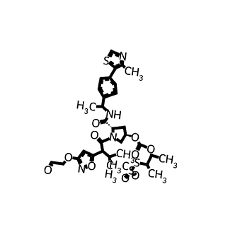 Cc1ncsc1-c1ccc(C(C)NC(=O)[C@@H]2C[C@@H](OC(=O)OC(C)C(C)SS(C)(=O)=O)CN2C(=O)C(c2cc(OCC=O)no2)C(C)C)cc1